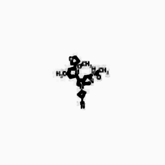 CO[C@@]1(c2cc(C)cc(-c3cn([C@H]4C[C@H](C#N)C4)c4cnc(NC(C)=O)cc34)n2)CCOC1